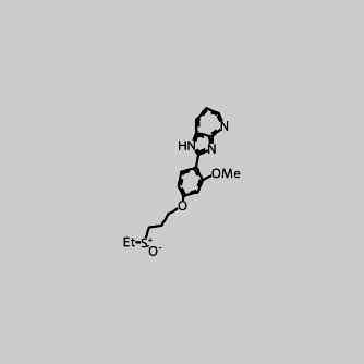 CC[S+]([O-])CCCOc1ccc(-c2nc3ncccc3[nH]2)c(OC)c1